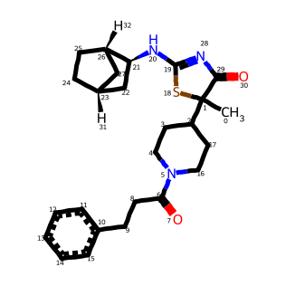 CC1(C2CCN(C(=O)CCc3ccccc3)CC2)SC(N[C@H]2C[C@@H]3CC[C@H]2C3)=NC1=O